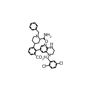 NC(=O)C1CC(c2cccc(C(=O)O)c2-c2cnc3c(c2)N(Cc2cc(Cl)ccc2Cl)CCN3)CCN1Cc1ccccc1